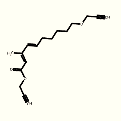 C#CCOCCCCCC=CC(C)=CC(=O)OCC#C